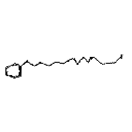 FCCCCCCCCCCCC[CH]Cc1ccccc1